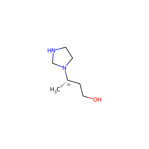 C[C@@H](CCO)N1CCNC1